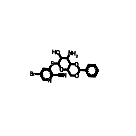 N#Cc1ncc(Br)cc1SC1OC2COC(c3ccccc3)OC2C(N)C1O